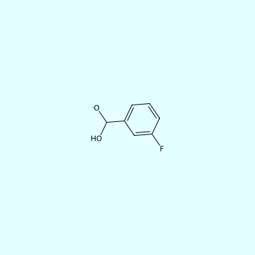 [O]C(O)c1cccc(F)c1